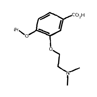 CC(C)Oc1ccc(C(=O)O)cc1OCCN(C)C